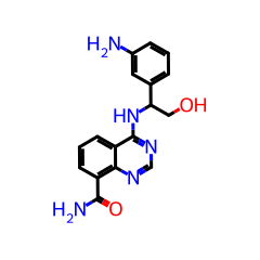 NC(=O)c1cccc2c(NC(CO)c3cccc(N)c3)ncnc12